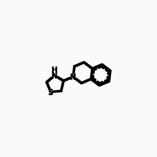 c1ccc2c(c1)CCN(C1CSCN1)C2